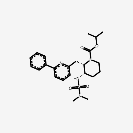 CC(C)OC(=O)N1CCC[C@H](NS(=O)(=O)N(C)C)[C@@H]1Cc1cccc(-c2ccccc2)n1